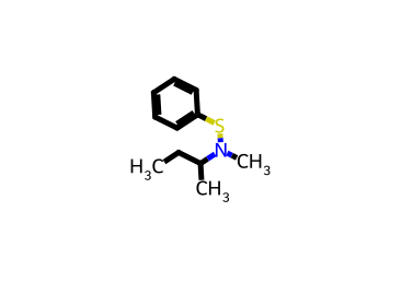 CCC(C)N(C)Sc1ccccc1